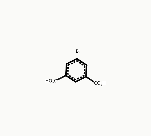 O=C(O)c1cccc(C(=O)O)c1.[B]